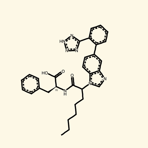 CCCCCCC(C(=O)N[C@@H](Cc1ccccc1)C(=O)O)n1cnc2cc(-c3ccccc3-c3nn[nH]n3)ccc21